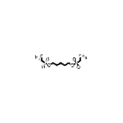 CCS(=O)(=O)OCCCCCOS(=O)(=O)CC